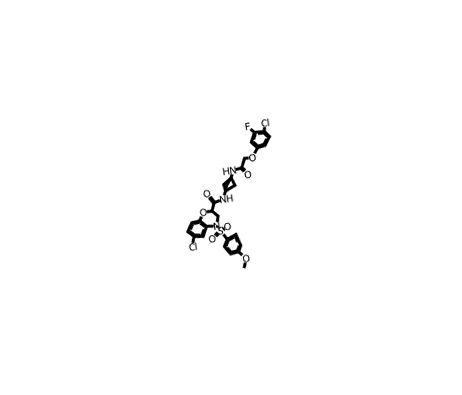 COc1ccc(S(=O)(=O)N2CC(C(=O)NC34CC(NC(=O)COc5ccc(Cl)c(F)c5)(C3)C4)Oc3ccc(Cl)cc32)cc1